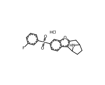 Cl.O=S(=O)(c1cccc(F)c1)c1ccc2c3c(oc2c1)CC1CCC3N1